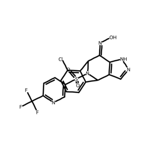 O=S(=O)(c1ccc(C(F)(F)F)nc1)N1C2/C(=N/O)c3[nH]ncc3C1c1cccc(Cl)c12